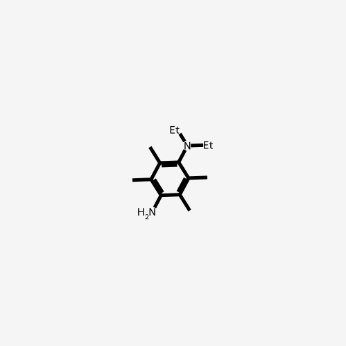 CCN(CC)c1c(C)c(C)c(N)c(C)c1C